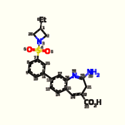 CCC1CN(S(=O)(=O)c2cccc(-c3ccc4c(c3)N=C(N)CC(C(=O)O)=C4)c2)C1